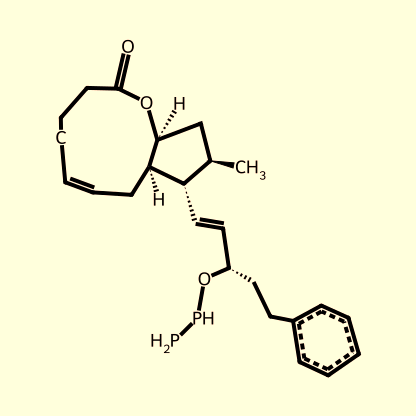 C[C@@H]1C[C@@H]2OC(=O)CCC/C=C\C[C@@H]2[C@H]1/C=C/[C@H](CCc1ccccc1)OPP